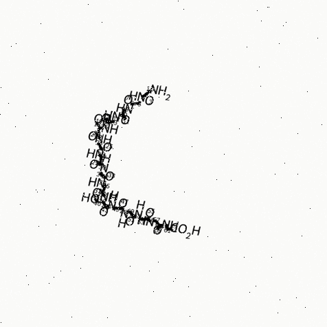 NCC(=O)NCC(=O)NCC(=O)NCC(=O)N[C@@H](CO)C(=O)NCC(=O)NCC(=O)NCC(=O)NCC(=O)N[C@@H](CO)C(=O)NCC(=O)NCC(=O)NCC(=O)NCC(=O)NCC(=O)O